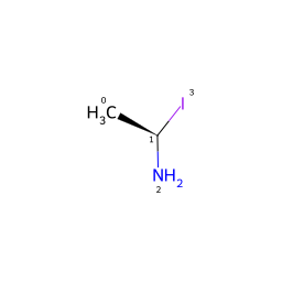 C[C@H](N)I